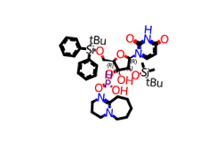 C1CCC2=NCCCN2CC1.CC(C)(C)[Si](C)(C)O[C@H]1[C@H](n2ccc(=O)[nH]c2=O)O[C@H](CO[Si](c2ccccc2)(c2ccccc2)C(C)(C)C)[C@]1(O)O[PH](=O)O